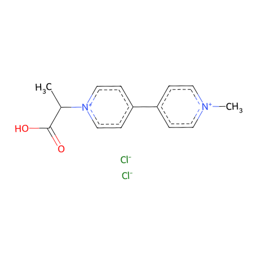 CC(C(=O)O)[n+]1ccc(-c2cc[n+](C)cc2)cc1.[Cl-].[Cl-]